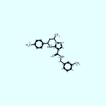 Cc1ccc(C2CC(C(F)(F)F)n3ncc(C(=O)NCc4cccc(C)c4)c3N2)cc1